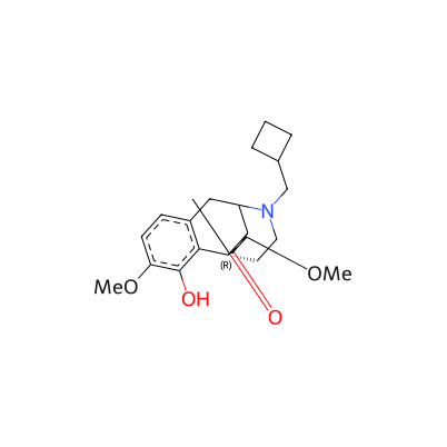 COc1ccc2c(c1O)[C@@]13CCN(CC4CCC4)C(C2)C1CC(OC)C(=O)C3